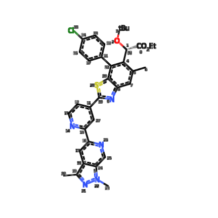 CCOC(=O)[C@@H](OC(C)(C)C)c1c(C)cc2nc(-c3ccnc(-c4cc5c(C)nn(C)c5cn4)c3)sc2c1-c1ccc(Cl)cc1